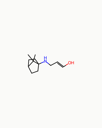 CC1(C)C2CCC1(NCC=CO)CC2